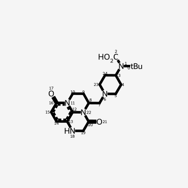 CC(C)(C)N(C(=O)O)C1CCN(CC2CCn3c4c(ccc3=O)NCC(=O)N42)CC1